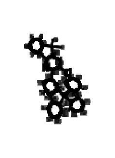 CC1(C)c2ccccc2-c2nc(-c3ccc4c(c3)C(c3ccccc3)(c3ccccc3)c3ccccc3-4)c(Cl)nc21